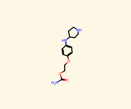 NC(=O)OCCOc1ccc(NC2CCNCC2)cc1